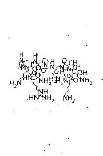 C[C@H](NC(=O)[C@@H](NC(=O)C(N)CCCCN)[C@@H](O)CN)C(=O)NCC(=O)N[C@H](CCCN)C(=O)N1CCC[C@H]1C(=O)N[C@@H](Cc1cnc[nH]1)C(=O)N[C@@H](CCCN)C(=O)N[C@H](CCCNC(=N)N)C(N)=O